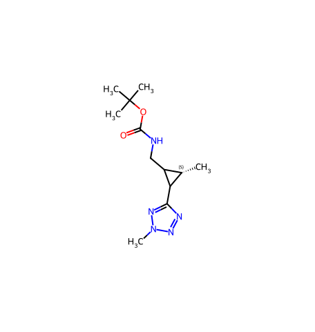 C[C@H]1C(CNC(=O)OC(C)(C)C)C1c1nnn(C)n1